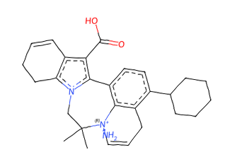 CC1(C)Cn2c3c(c(C(=O)O)c2-c2ccc(C4CCCCC4)c4c2[N@+]1(N)C=CC4)C=CCC3